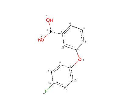 OB(O)c1cccc(Oc2ccc(F)cc2)c1